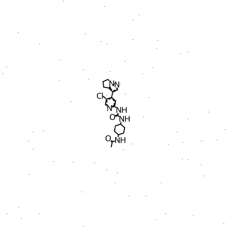 CC(=O)NC1CCC(NC(=O)Nc2cc(-c3cnn4c3CCC4)c(Cl)cn2)CC1